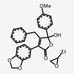 CCC1CO1.COc1ccc(C2(O)OC(=O)C(c3ccc4c(c3)OCO4)=C2Cc2ccccc2)cc1